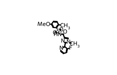 COc1ccc(C)c(S(=O)(=O)NC(=O)c2cn(C)c(-c3ncccc3F)n2)c1